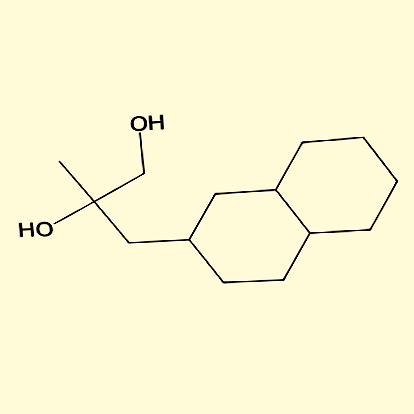 CC(O)(CO)CC1CCC2CCCCC2C1